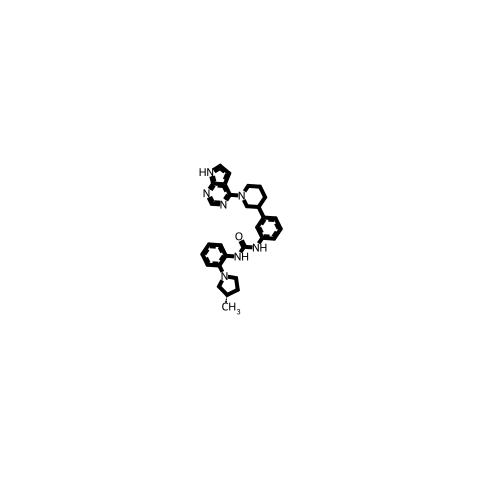 C[C@H]1CCN(c2ccccc2NC(=O)Nc2cccc(C3CCCN(c4ncnc5[nH]ccc45)C3)c2)C1